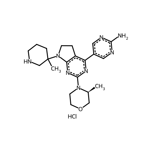 C[C@H]1COCCN1c1nc(-c2cnc(N)nc2)c2c(n1)N(C1(C)CCCNC1)CC2.Cl